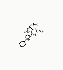 CCCCCCN1C[N+]([O-])(c2nnc(C3CCCCC3)s2)C(O)C1COC